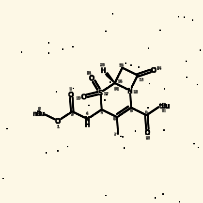 CCCCOC(=O)NC1C(C)=C(C(=O)C(C)(C)C)N2C(=O)C[C@H]2S1(=O)=O